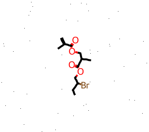 C=C(C)C(=O)OCC(C)C(=O)OCC(Br)CC